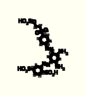 Nc1cc(N)c(/N=N/c2cc(S(=O)(=O)O)ccc2S(=O)(=O)O)cc1/N=N/c1ccc(S(=O)(=O)CCOS(=O)(=O)O)cc1